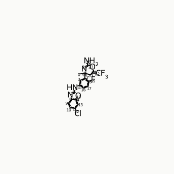 C[C@]1(c2cc(Nc3nc4ccc(Cl)cc4o3)ccc2F)C[C@@H](C(F)(F)F)OC(N)=N1